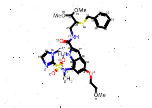 COCCOc1cc(N(C)S(=O)(=O)c2nccn2C)c2[nH]c(C(=O)NCC(SCc3ccccc3)C(OC)OC)cc2c1